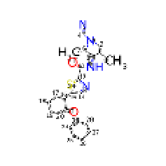 CC1CN(C#N)C(C)[C@@H]1NC(=O)c1ncc(-c2ccccc2Oc2ccccc2)s1